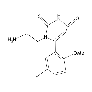 COc1ccc(F)cc1-c1cc(=O)[nH]c(=S)n1CCN